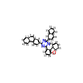 C1=CC2C=Cc3cc(-c4nc(-c5cccc6c5C5C=CCCC5O6)nc([C@@H]5C=Cc6ccccc6C5)n4)ccc3C2C=C1